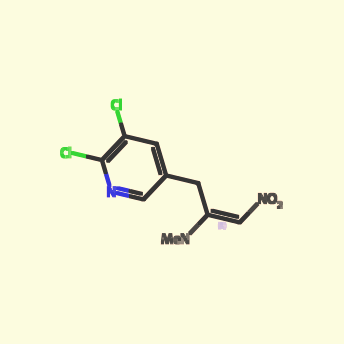 CN/C(=C/[N+](=O)[O-])Cc1cnc(Cl)c(Cl)c1